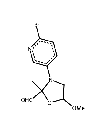 COC1CN(c2ccc(Br)nc2)C(C)(C=O)O1